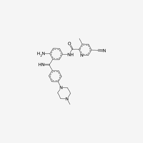 Cc1cc(C#N)cnc1C(=O)Nc1ccc(N)c(C(=N)c2ccc(N3CCN(C)CC3)cc2)c1